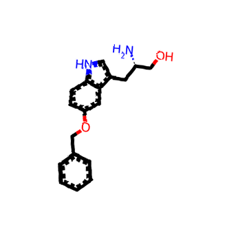 N[C@H](CO)Cc1c[nH]c2ccc(OCc3ccccc3)cc12